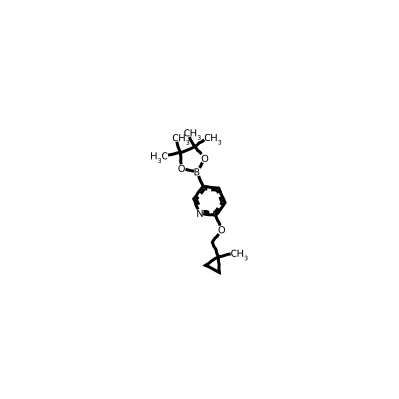 CC1(COc2ccc(B3OC(C)(C)C(C)(C)O3)cn2)CC1